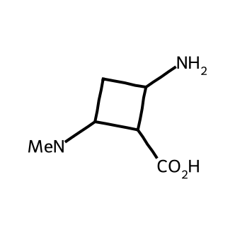 CNC1CC(N)C1C(=O)O